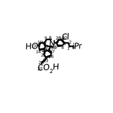 CC(C)CCc1ccc(N2CCc3cc(O)ccc3C2(C)c2ccc(C=CC(=O)O)cc2)cc1Cl